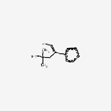 CC/C=C(\CC(C)(C)S)c1ccccc1